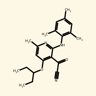 CCC(CC)Oc1cc(C)nc(Nc2c(C)cc(C)cc2C)c1C(=O)C#N